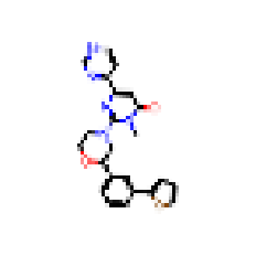 Cn1c(N2CCOC(c3cccc(-c4cccs4)c3)C2)nc(-c2ccncn2)cc1=O